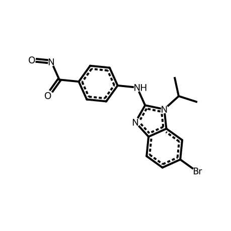 CC(C)n1c(Nc2ccc(C(=O)N=O)cc2)nc2ccc(Br)cc21